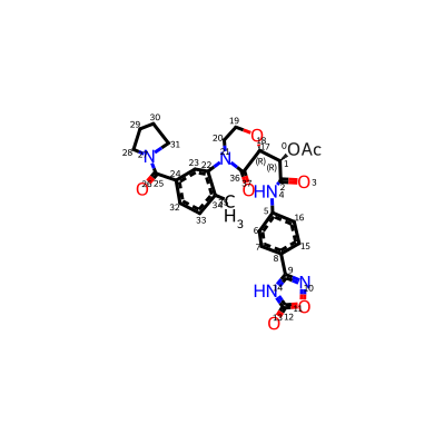 CC(=O)O[C@@H](C(=O)Nc1ccc(-c2noc(=O)[nH]2)cc1)[C@H]1OCCN(c2cc(C(=O)N3CCCC3)ccc2C)C1=O